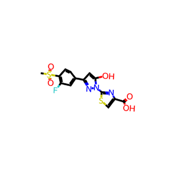 CS(=O)(=O)c1ccc(-c2cc(O)n(-c3nc(C(=O)O)cs3)n2)cc1F